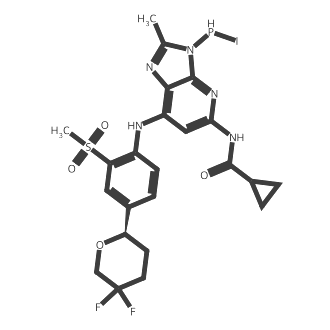 Cc1nc2c(Nc3ccc([C@H]4CCC(F)(F)CO4)cc3S(C)(=O)=O)cc(NC(=O)C3CC3)nc2n1PI